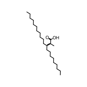 CCCCCCCCCCCC(CCCCCCCCC)=C(C)C(=O)O